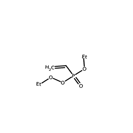 C=CP(=O)(OCC)OOCC